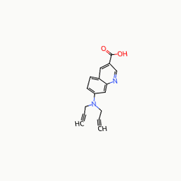 C#CCN(CC#C)c1ccc2cc(C(=O)O)cnc2c1